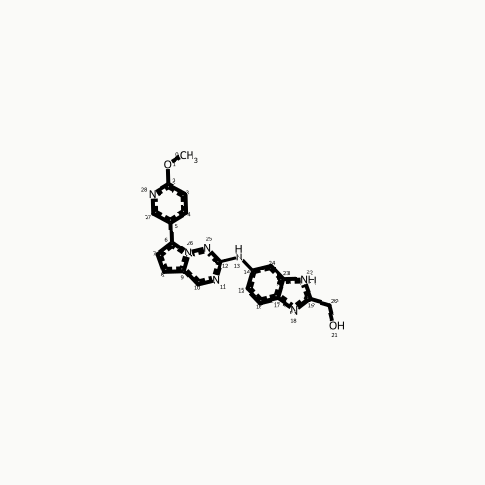 COc1ccc(-c2ccc3cnc(Nc4ccc5nc(CO)[nH]c5c4)nn23)cn1